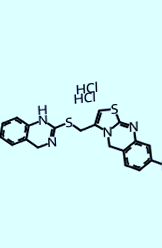 Cl.Cl.Fc1ccc2c(c1)N=C1SC=C(CSC3=NCc4ccccc4N3)N1C2